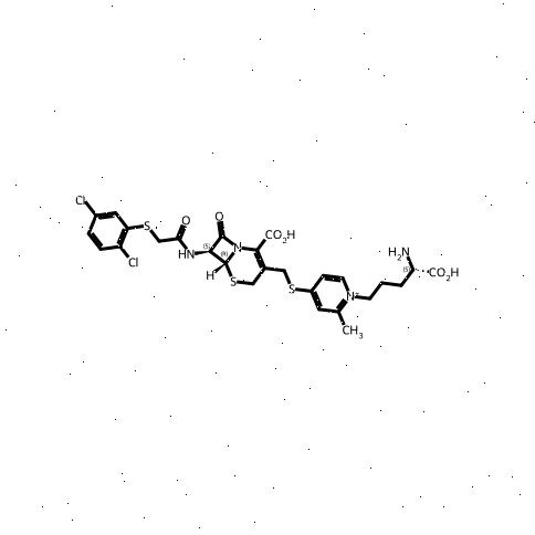 Cc1cc(SCC2=C(C(=O)O)N3C(=O)[C@H](NC(=O)CSc4cc(Cl)ccc4Cl)[C@H]3SC2)cc[n+]1CCC[C@H](N)C(=O)O